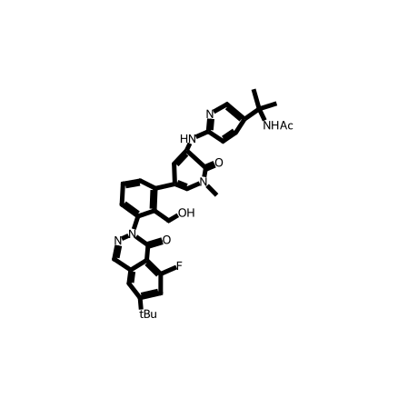 CC(=O)NC(C)(C)c1ccc(Nc2cc(-c3cccc(-n4ncc5cc(C(C)(C)C)cc(F)c5c4=O)c3CO)cn(C)c2=O)nc1